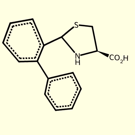 O=C(O)[C@@H]1CSC(c2ccccc2-c2ccccc2)N1